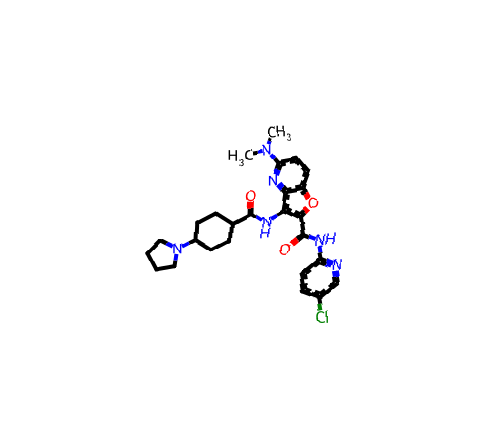 CN(C)c1ccc2oc(C(=O)Nc3ccc(Cl)cn3)c(NC(=O)C3CCC(N4CCCC4)CC3)c2n1